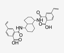 C=Cc1ccc(C(=O)O)c(C(=O)NC2CCCC3C(NC(=O)c4cc(C=C)ccc4C(=O)O)CCCC23)c1